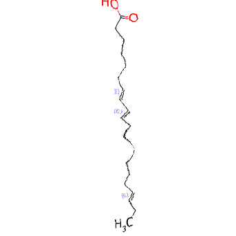 CC/C=C/CCCCCC/C=C/C=C/CCCCCC(=O)O